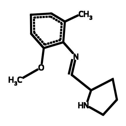 COc1cccc(C)c1N=CC1CCCN1